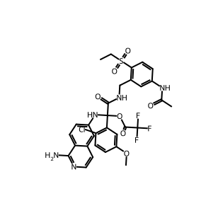 CCS(=O)(=O)c1ccc(NC(C)=O)cc1CNC(=O)C(Nc1ccc2c(N)nccc2c1)(OC(=O)C(F)(F)F)c1cc(OC)ccc1Cl